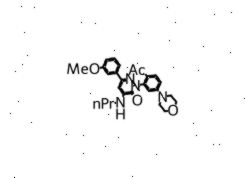 CCCNc1cc(-c2cccc(OC)c2)nn(-c2cc(N3CCOCC3)ccc2C(C)=O)c1=O